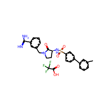 Cc1cccc(-c2ccc(S(=O)(=O)N[C@H]3CCN(Cc4cccc(C(=N)N)c4)C3=O)cc2)c1.O=C(O)C(F)(F)F